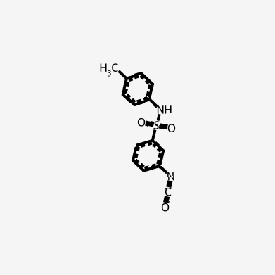 Cc1ccc(NS(=O)(=O)c2cccc(N=C=O)c2)cc1